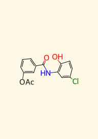 CC(=O)Oc1cccc(C(=O)Nc2cc(Cl)ccc2O)c1